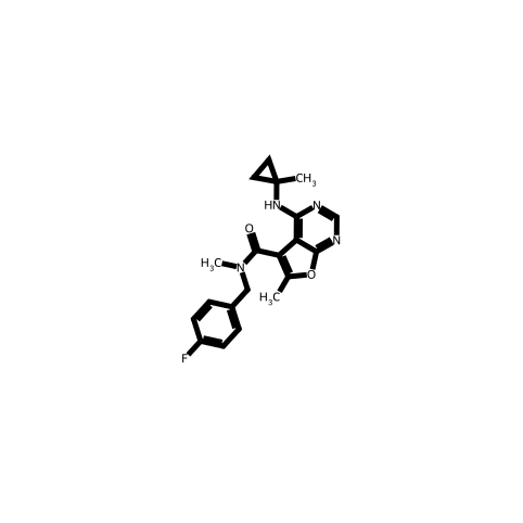 Cc1oc2ncnc(NC3(C)CC3)c2c1C(=O)N(C)Cc1ccc(F)cc1